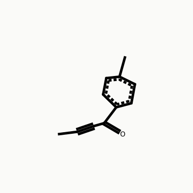 CC#CC(=O)c1ccc(C)cc1